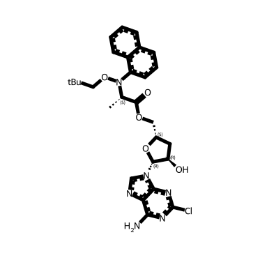 C[C@@H](C(=O)OC[C@@H]1C[C@@H](O)[C@H](n2cnc3c(N)nc(Cl)nc32)O1)N(OCC(C)(C)C)c1cccc2ccccc12